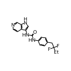 CCC(F)(F)Cc1ccc(NC(=O)Nc2c[nH]c3cnccc23)cc1